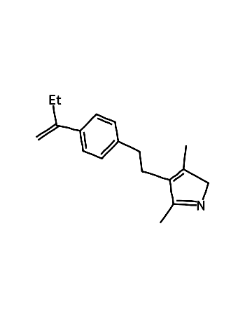 C=C(CC)c1ccc(CCC2=C(C)CN=C2C)cc1